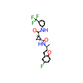 CC(NC(=O)[C@@H]1C[C@H]1C(=O)Nc1cccc(C(F)(F)F)c1)c1cc2cc(F)ccc2o1